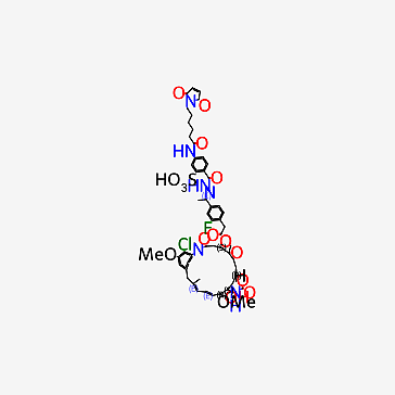 COc1cc2cc(c1Cl)N(C)C(=O)C[C@H](OC(=O)Cc1ccc(/C(C)=N/NC(=O)c3ccc(NC(=O)CCCCCN4C(=O)C=CC4=O)cc3S(=O)(=O)O)cc1F)C1(C)OC1C[C@@H]1C[C@@](O)(NC(=O)O1)[C@H](OC)/C=C/C=C(\C)C2